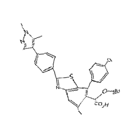 Cc1cc2nc(-c3ccc(-c4cnn(C)c4C)cc3)sc2c(-c2ccc(Cl)cc2)c1[C@H](OC(C)(C)C)C(=O)O